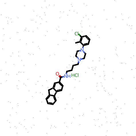 Cc1c(Cl)cccc1N1CCN(CCCCNC(=O)c2ccc3c(c2)Cc2ccccc2-3)CC1.Cl